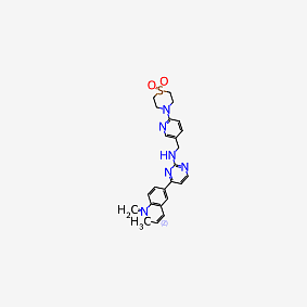 C=Nc1ccc(-c2ccnc(NCc3ccc(N4CCS(=O)(=O)CC4)nc3)n2)cc1/C=C\C